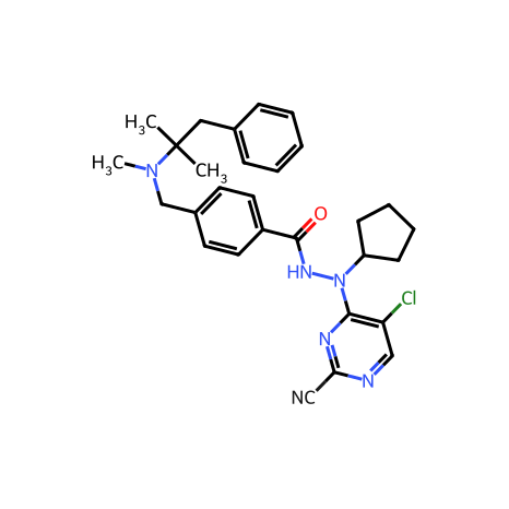 CN(Cc1ccc(C(=O)NN(c2nc(C#N)ncc2Cl)C2CCCC2)cc1)C(C)(C)Cc1ccccc1